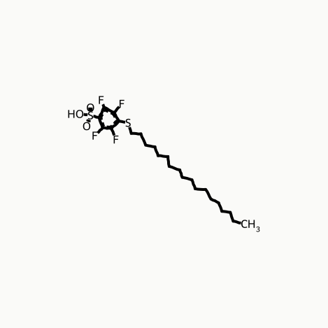 CCCCCCCCCCCCCCCCCCSc1c(F)c(F)c(S(=O)(=O)O)c(F)c1F